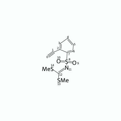 C#Cc1ccccc1S(=O)(=O)N=C(SC)SC